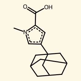 Cn1cc(C23CC4CC(CC(C4)C2)C3)cc1C(=O)O